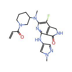 C=CC(=O)N1CCCC(N(C)c2nc(Nc3cnn(C)c3)c3c(c2F)CNC3=O)C1